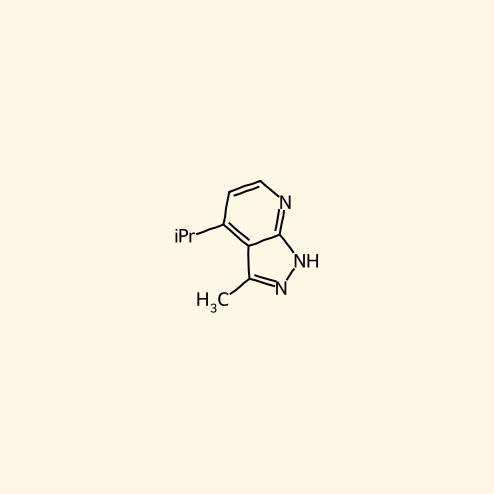 Cc1n[nH]c2nccc(C(C)C)c12